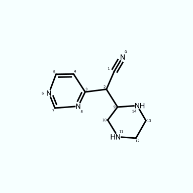 N#CC(c1ccncn1)C1CNCCN1